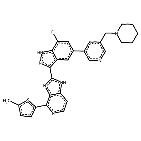 Cc1ccc(-c2nccc3[nH]c(-c4n[nH]c5c(F)cc(-c6cncc(CN7CCCCC7)c6)cc45)nc23)s1